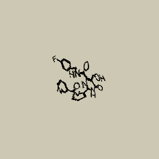 O=C(NCc1ccc(F)cc1)c1nc(C2CCCN2C(=O)c2cccnc2)[nH]c(=O)c1CO